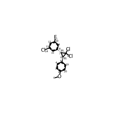 COc1ccc([C@H]2[C@H](c3cc(F)cc(Cl)c3)C2(Cl)Cl)cc1